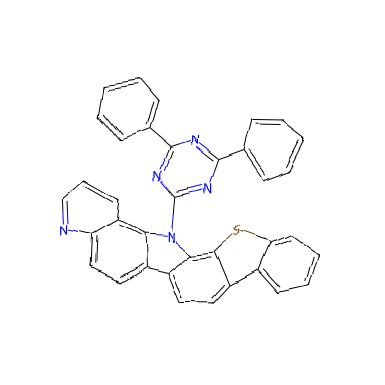 c1ccc(-c2nc(-c3ccccc3)nc(-n3c4c5cccnc5ccc4c4ccc5c6ccccc6sc5c43)n2)cc1